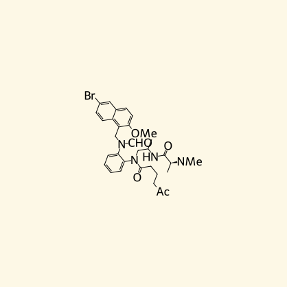 CN[C@@H](C)C(=O)NC(C)CN(C(=O)CCCC(C)=O)c1ccccc1N(C=O)Cc1c(OC)ccc2cc(Br)ccc12